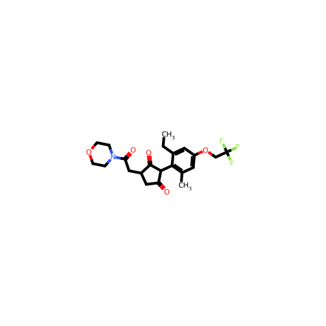 CCc1cc(OCC(F)(F)F)cc(C)c1C1C(=O)CC(CC(=O)N2CCOCC2)C1=O